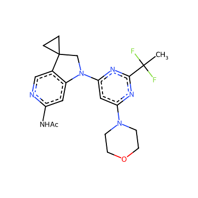 CC(=O)Nc1cc2c(cn1)C1(CC1)CN2c1cc(N2CCOCC2)nc(C(C)(F)F)n1